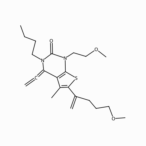 C=C=C1c2c(sc(C(=C)CCCOC)c2C)N(CCOC)C(=O)N1CCCC